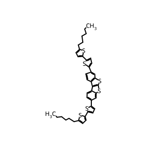 CCCCCCc1ccc(-c2ccc(-c3ccc4c(c3)sc3sc5cc(-c6ccc(-c7ccc(CCCCCC)s7)s6)ccc5c34)s2)s1